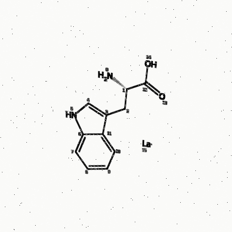 N[C@@H](Cc1c[nH]c2ccccc12)C(=O)O.[La]